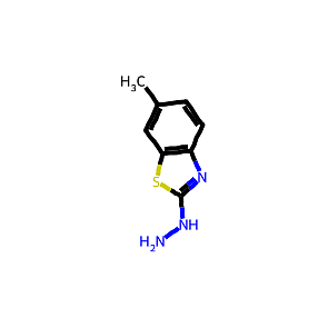 Cc1ccc2nc(NN)sc2c1